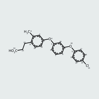 Cc1cc(Oc2cccc(Oc3ccc(Cl)cc3)c2)ccc1CCC(=O)O